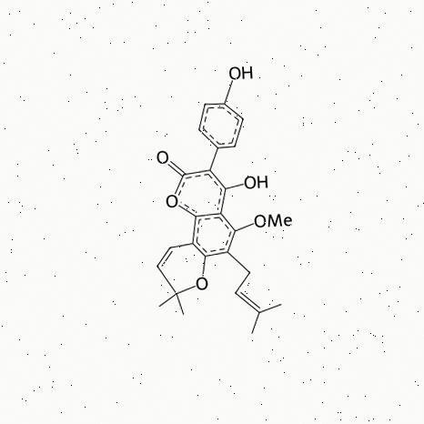 COc1c(CC=C(C)C)c2c(c3oc(=O)c(-c4ccc(O)cc4)c(O)c13)C=CC(C)(C)O2